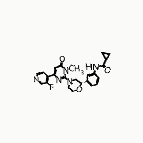 Cn1c(N2CCO[C@@H](c3cccc(NC(=O)C4CC4)c3)C2)nc(-c2ccncc2F)cc1=O